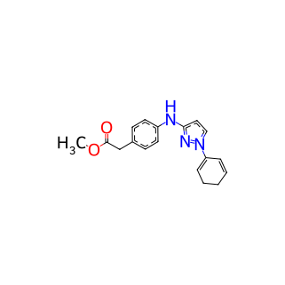 COC(=O)Cc1ccc(Nc2ccn(C3=CCCC=C3)n2)cc1